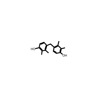 Cc1c(O)ccc(Cc2ccc(O)c(C)c2C)c1C